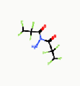 NN(C(=O)C(F)(F)C(F)F)C(=O)C(F)(F)C(F)F